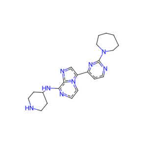 c1cc(-c2cnc3c(NC4CCNCC4)nccn23)nc(N2CCCCCC2)n1